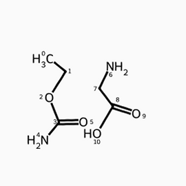 CCOC(N)=O.NCC(=O)O